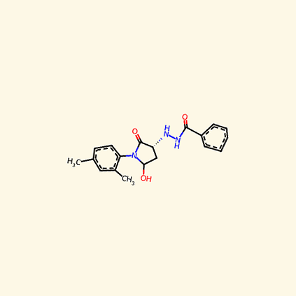 Cc1ccc(N2C(=O)[C@H](NNC(=O)c3ccccc3)CC2O)c(C)c1